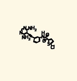 Nc1ncnc(N)c1C#Cc1cccc(NS(=O)(=O)c2ccc(Cl)s2)c1